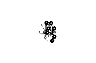 Bc1c(B)c(-c2nc(-c3ccccc3)nc(-c3cccc(-c4ccccc4)c3)n2)c2c(oc3c(B)c(-n4c5c(c6ccccc64)CCC=C5)c(B)c(B)c32)c1B